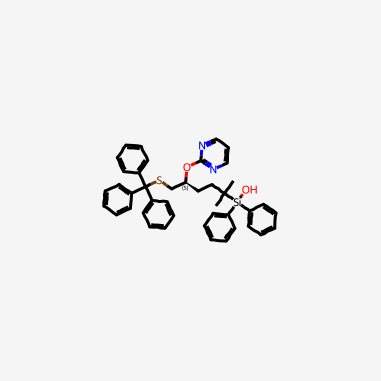 CC(C)(CC[C@@H](CSC(c1ccccc1)(c1ccccc1)c1ccccc1)Oc1ncccn1)[Si](O)(c1ccccc1)c1ccccc1